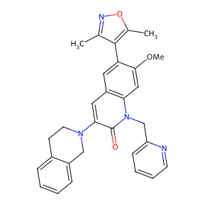 COc1cc2c(cc1-c1c(C)noc1C)cc(N1CCc3ccccc3C1)c(=O)n2Cc1ccccn1